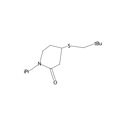 CC(C)N1CCC(SCC(C)(C)C)CC1=O